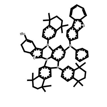 CC(C)(C)C1=Cc2c(oc3c2N(c2ccc4c(c2)C(C)(C)CCC4(C)C)c2cc(N(c4ccccc4)c4ccc5c6c(sc5c4)C=CC=C=C6)cc4c2B3c2cc3c(cc2N4c2ccc4c(c2)C(C)(C)CCC4(C)C)C(C)(C)CCC3(C)C)CC1